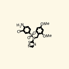 COc1ccc(CN(c2ncns2)S(=O)(=O)c2ccc(N)c(Cl)c2)c(OC)c1